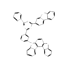 c1ccc(-c2nc(-c3cccc(-n4c5ccccc5c5c6c(ccc54)sc4ccccc46)c3)nc(-c3ccc4c(c3)oc3ccccc34)n2)cc1